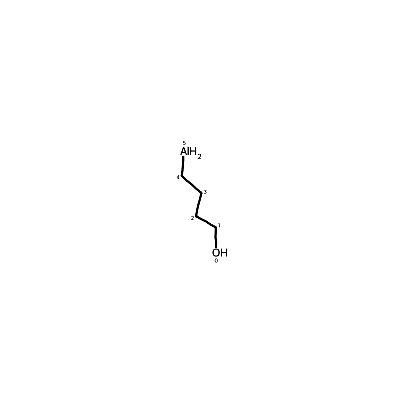 OCCC[CH2][AlH2]